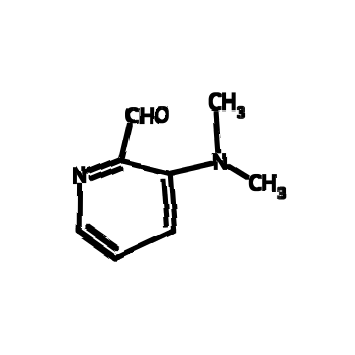 CN(C)c1cccnc1C=O